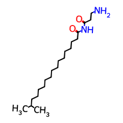 CC(C)CCCCCCCCCCCCCCC(=O)NC(=O)CCN